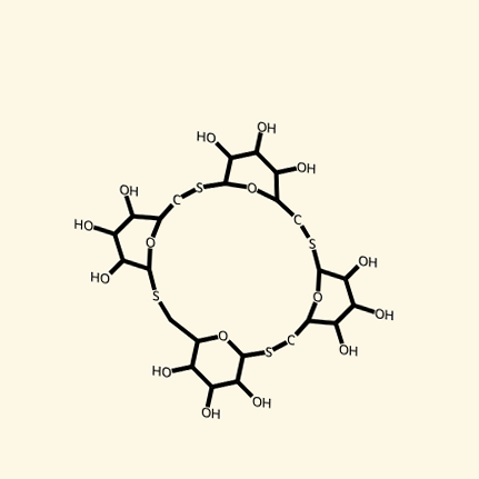 OC1C2CSC3OC(CSC4OC(CSC5OC(CSC(O2)C(O)C1O)C(O)C(O)C5O)C(O)C(O)C4O)C(O)C(O)C3O